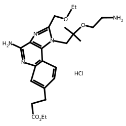 CCOCc1nc2c(N)nc3cc(CCC(=O)OCC)ccc3c2n1CC(C)(C)OCCN.Cl